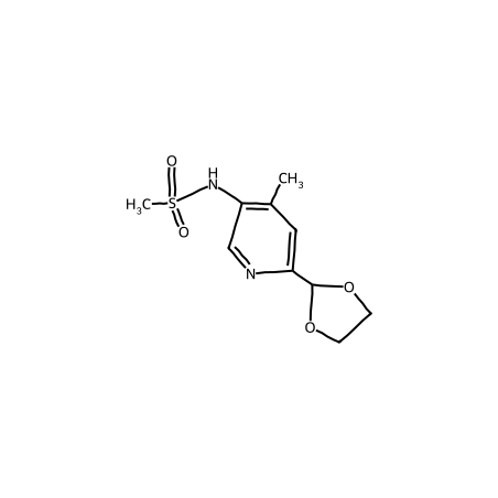 Cc1cc(C2OCCO2)ncc1NS(C)(=O)=O